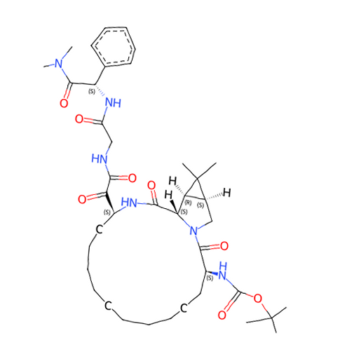 CN(C)C(=O)[C@@H](NC(=O)CNC(=O)C(=O)[C@@H]1CCCCCCCCCC[C@H](NC(=O)OC(C)(C)C)C(=O)N2C[C@H]3[C@@H]([C@H]2C(=O)N1)C3(C)C)c1ccccc1